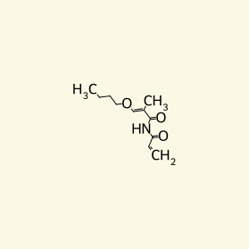 C=CC(=O)NC(=O)C(C)=COCCCC